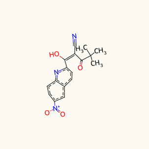 CC(C)(C)C(=O)C(C#N)=C(O)c1ccc2cc([N+](=O)[O-])ccc2n1